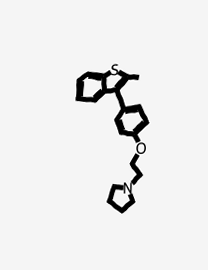 Cc1sc2ccccc2c1-c1ccc(OCCN2CCCC2)cc1